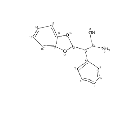 NC(O)C(c1ccccc1)C1Oc2ccccc2O1